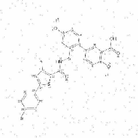 COc1ccc(-c2ccc(OC)c(C(=O)O)c2)c(CNC(=O)c2sc(-c3ccc(C)cc3)nc2C)c1